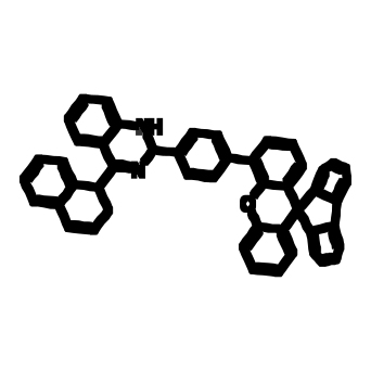 C1=Cc2ccccc2C(C2=NC(c3ccc(-c4cccc5c4Oc4ccccc4C54c5ccccc5-c5ccccc54)cc3)Nc3ccccc32)C1